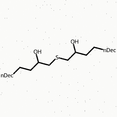 CCCCCCCCCCCCC(O)CSCC(O)CCCCCCCCCCCC